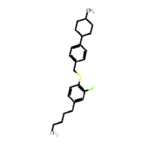 CCCCCc1ccc(SCc2ccc(C3CCC(C)CC3)cc2)c(F)c1